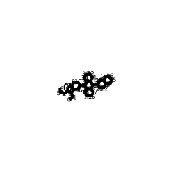 C=Cc1c(/C=C\C)oc2ccc(-c3c4ccccc4c(-c4ccc5ccccc5c4)c4ccccc34)cc12